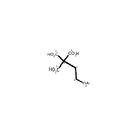 CC(=O)OCCC(C(=O)O)(C(=O)O)C(=O)O